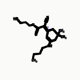 CCCCNC1=C/C(=C(/C#N)C(=O)OCCCO)CC(C)(C)C1